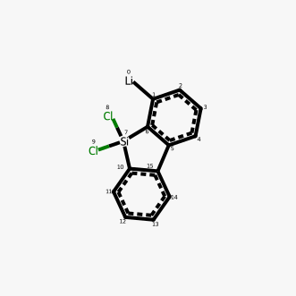 [Li][c]1cccc2c1[Si](Cl)(Cl)c1ccccc1-2